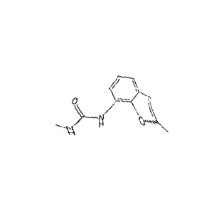 CNC(=O)Nc1cccc2cc(C)oc12